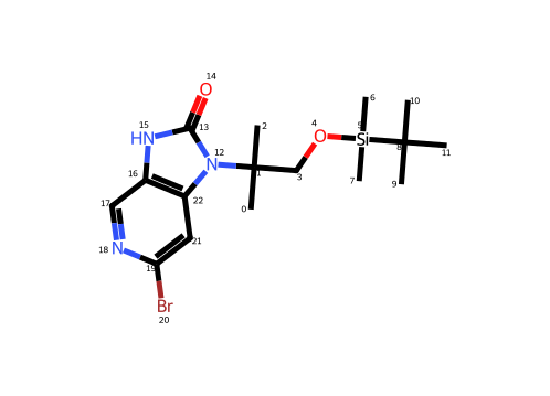 CC(C)(CO[Si](C)(C)C(C)(C)C)n1c(=O)[nH]c2cnc(Br)cc21